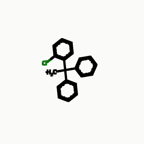 [CH2]C(c1ccccc1)(c1ccccc1)c1ccccc1Cl